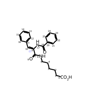 O=C(O)CCCCCNC(=O)/C(=C/c1ccccc1)NC(=O)c1ccccc1